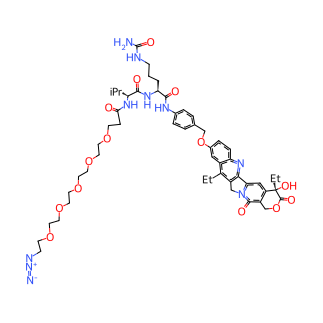 CCc1c2c(nc3ccc(OCc4ccc(NC(=O)[C@H](CCCNC(N)=O)NC(=O)[C@@H](NC(=O)CCOCCOCCOCCOCCOCCN=[N+]=[N-])C(C)C)cc4)cc13)-c1cc3c(c(=O)n1C2)COC(=O)[C@]3(O)CC